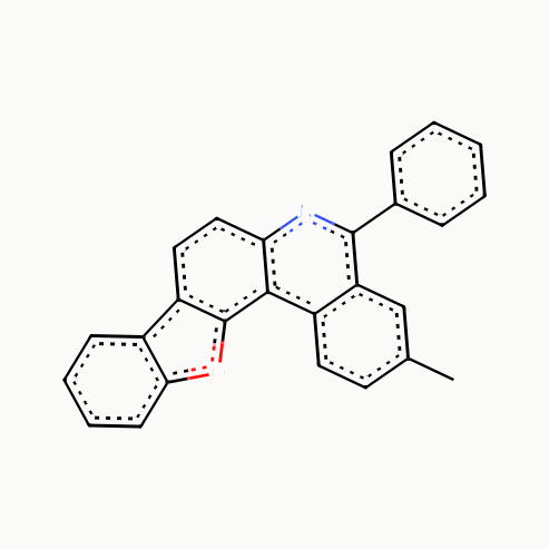 Cc1ccc2c(c1)c(-c1ccccc1)nc1ccc3c4ccccc4oc3c12